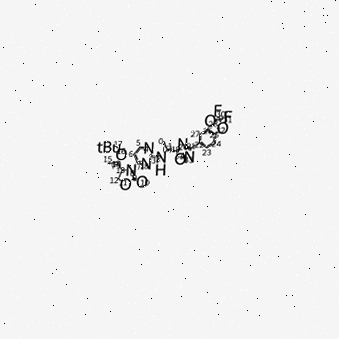 C[C@H](Nc1nccc(N2C(=O)OCC2[C@@H](C)OC(C)(C)C)n1)c1nc(-c2ccc3c(c2)OC(F)(F)O3)no1